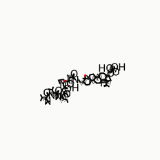 C=C(C)[C@@H]1CC[C@]2(COP(=O)(O)O)CC[C@]3(C)C(CCC4[C@@]5(C)CC[C@H](CCNC(=O)[C@H](C)[C@@H](OC)C6CCCN6C(=O)C[C@@H](OC)[C@H]([C@@H](C)CC)N(C)C(=O)[C@@H](NC(=O)[C@H](C(C)C)N(C)C)C(C)C)C(C)(C)[C@]5(C)CC[C@]43C)[C@@H]12